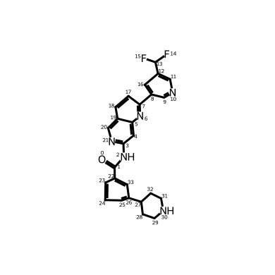 O=C(Nc1cc2nc(-c3cncc(C(F)F)c3)ccc2cn1)c1cccc(C2CCNCC2)c1